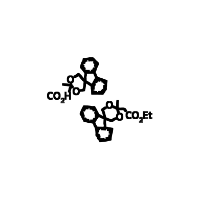 CC1(C(=O)O)OCC2(CO1)c1ccccc1-c1ccccc12.CCOC(=O)CC1(C)OCC2(CO1)c1ccccc1-c1ccccc12